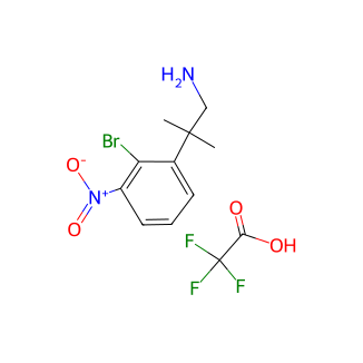 CC(C)(CN)c1cccc([N+](=O)[O-])c1Br.O=C(O)C(F)(F)F